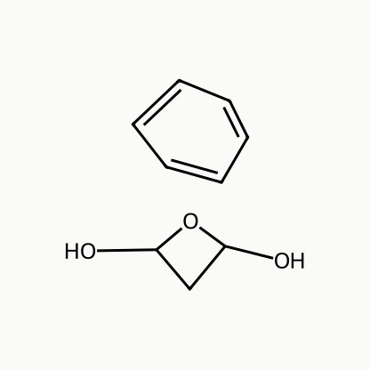 OC1CC(O)O1.c1ccccc1